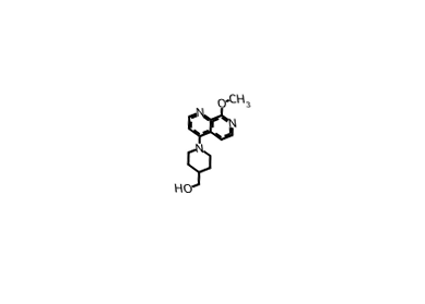 COc1nccc2c(N3CCC(CO)CC3)ccnc12